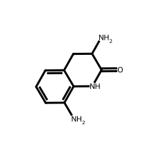 Nc1cccc2c1NC(=O)C(N)C2